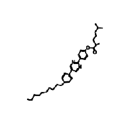 CCCCCCCCCCc1ccc(-c2cnc(-c3ccc(OC(=O)C(C)CCCC(C)C)cc3)nc2)cc1